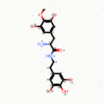 COc1c(Br)cc(C[C@H](N)C(=O)NCCc2cc(Br)c(O)c(Br)c2)cc1Br